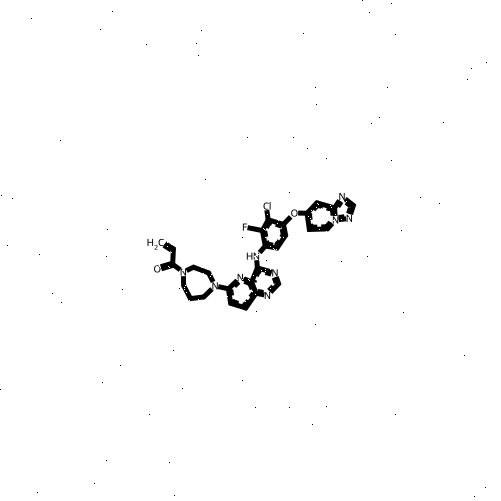 C=CC(=O)N1CCCN(c2ccc3ncnc(Nc4ccc(Oc5ccn6ncnc6c5)c(Cl)c4F)c3n2)CC1